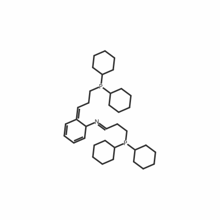 C1=CC(=CCCP(C2CCCCC2)C2CCCCC2)C(N=CCCP(C2CCCCC2)C2CCCCC2)C=C1